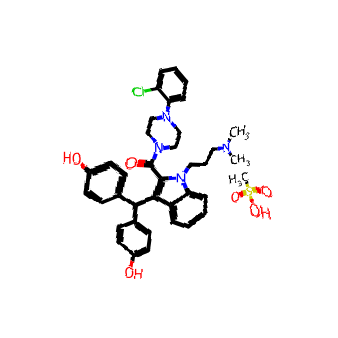 CN(C)CCCn1c(C(=O)N2CCN(c3ccccc3Cl)CC2)c(C(c2ccc(O)cc2)c2ccc(O)cc2)c2ccccc21.CS(=O)(=O)O